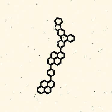 c1cc2ccc3ccc(-c4ccc(-c5ccc6ccc7c(-c8ccc9c(c8)c8ccccc8c8cc%10c(cc98)sc8ccccc8%10)ccc8ccc5c6c87)cc4)c4ccc(c1)c2c34